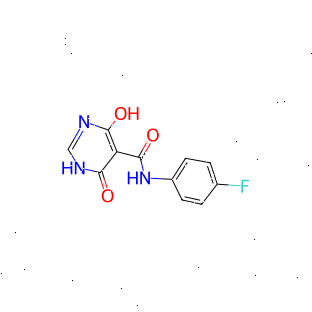 O=C(Nc1ccc(F)cc1)c1c(O)nc[nH]c1=O